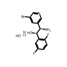 Cl.Cl.N[C@H](c1cncc(Br)c1)[C@H](O)c1cc(F)ccc1F